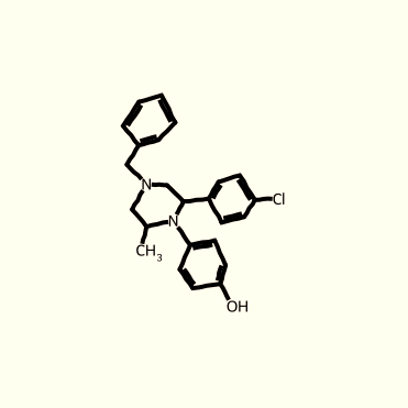 CC1CN(Cc2ccccc2)CC(c2ccc(Cl)cc2)N1c1ccc(O)cc1